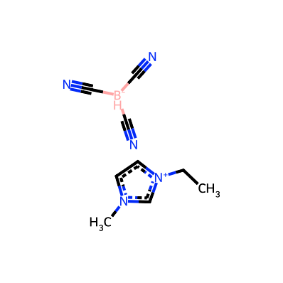 CC[n+]1ccn(C)c1.N#C[BH-](C#N)C#N